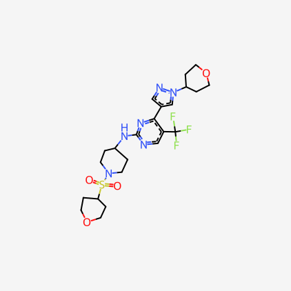 O=S(=O)(C1CCOCC1)N1CCC(Nc2ncc(C(F)(F)F)c(-c3cnn(C4CCOCC4)c3)n2)CC1